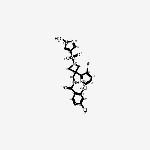 Cn1cc(S(=O)(=O)N2CC(CNC(=O)c3ccc(Cl)cc3Cl)(c3ncccc3F)C2)cn1